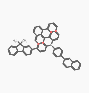 CC1(C)c2ccccc2-c2ccc(-c3ccc(N(c4ccc(-c5ccc6ccccc6c5)cc4)c4ccccc4C4=c5c(C6=CC=CCC6)cccc5=CCC4)cc3)cc21